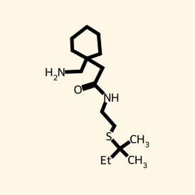 CCC(C)(C)SCCNC(=O)CC1(CN)CCCCC1